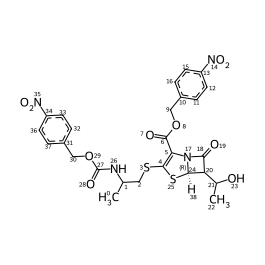 CC(CSC1=C(C(=O)OCc2ccc([N+](=O)[O-])cc2)N2C(=O)C(C(C)O)[C@H]2S1)NC(=O)OCc1ccc([N+](=O)[O-])cc1